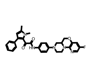 Cc1cc(-c2ccccc2)c(C(=O)C(=O)Nc2ccc(N3CCN4c5ncc(F)cc5OCC4C3)cc2)n1C